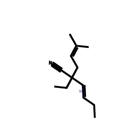 CC/C=C/C(C#N)(CC)CC=C(C)C